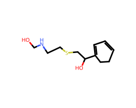 OCNCCSCC(O)C1=CC=CCC1